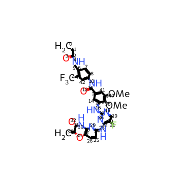 C=CC(=O)NCc1ccc(NC(=O)c2cc(Nc3ncc(F)c(Nc4ccc5c(n4)NC(=O)C(=C)O5)n3)c(OC)c(OC)c2)cc1C(F)(F)F